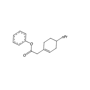 CCCC1CC=C(CC(=O)Oc2ccccc2)CC1